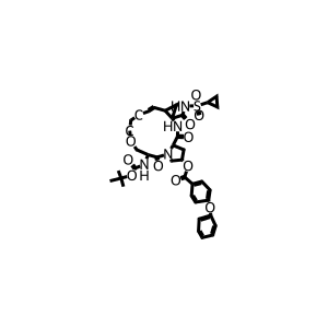 CC(C)(C)OC(=O)NC1COCCC/C=C/C2CC2(C(=O)NS(=O)(=O)C2CC2)NC(=O)C2CC(OC(=O)c3ccc(Oc4ccccc4)cc3)CN2C1=O